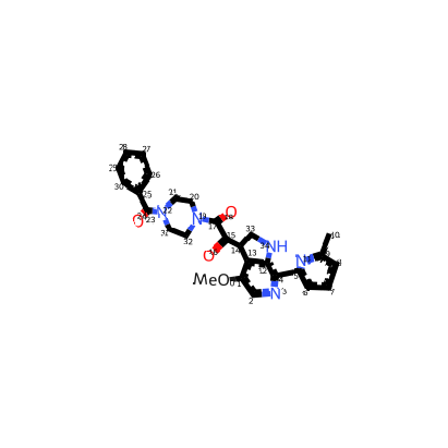 COc1cnc(-c2cccc(C)n2)c2c1C(C(=O)C(=O)N1CCN(C(=O)c3ccccc3)CC1)CN2